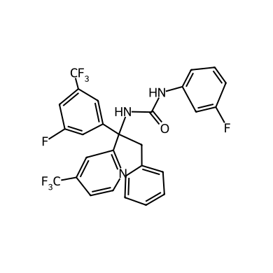 O=C(Nc1cccc(F)c1)NC(Cc1ccccc1)(c1cc(F)cc(C(F)(F)F)c1)c1cc(C(F)(F)F)ccn1